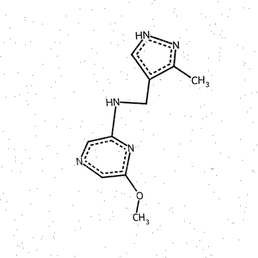 COc1cncc(NCc2c[nH]nc2C)n1